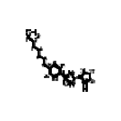 CCCCCCCCc1ccc(-c2nc([C@@H]3CCCN3)no2)cc1